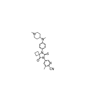 Cc1cc(N2C(=O)C3(CCC3)N(c3ccc(N(C)C4CCN(C)CC4)cc3)C2=S)cnc1C#N